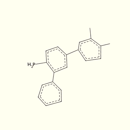 Cc1ccc(-c2ccc(P)c(-c3ccccc3)c2)cc1C